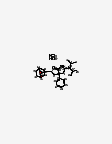 CC(C)N(CCC(CCN1CC2CCC(CC2)C1)(C(N)=O)c1ccccc1)C(C)C.Cl.Cl